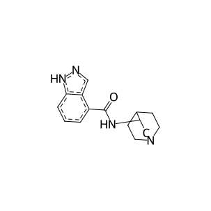 O=C(NC1CN2CCC1CC2)c1cccc2[nH]ncc12